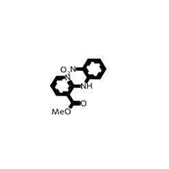 COC(=O)c1cccnc1Nc1ccccc1[N+](=O)[O-]